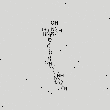 C[C@@H]1C[C@@H](O)CN1C(=O)[C@@H](NC(=O)COCCOCCOCCOCC(=O)N1CCN(C2CCC(Nc3ncnc4cc(CC#N)ccc34)CC2)CC1)C(C)(C)C